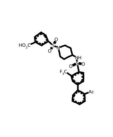 CC(=O)c1ccccc1-c1ccc(S(=O)(=O)NC2CCN(S(=O)(=O)c3cccc(C(=O)O)c3)CC2)c(C(F)(F)F)c1